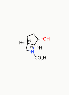 O=C(O)N1C[C@H]2CCC(O)[C@H]21